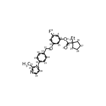 CCC1(C(=O)Oc2cc(F)cc(OCc3ccc(-n4ccnc4C)cc3)c2)CCCC1